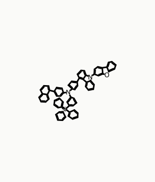 c1ccc([Si](c2ccccc2)(c2ccccc2)c2cccc(N(c3ccc(-c4cccc5ccccc45)cc3)c3ccc(-c4cccc5c4c4ccccc4n5-c4ccc5c(c4)oc4ccccc45)cc3)c2)cc1